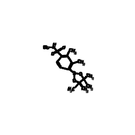 Cc1c(B2OC(C)(C)C(C)(C)O2)ccc(S(=O)(=O)NC(C)(C)C)c1C